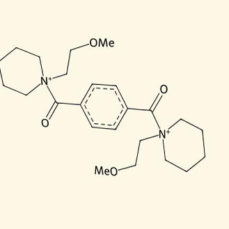 COCC[N+]1(C(=O)c2ccc(C(=O)[N+]3(CCOC)CCCCC3)cc2)CCCCC1